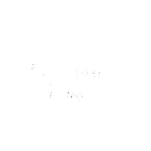 CCOC(=O)c1c(-c2ccc(F)cc2F)noc1C1CC1